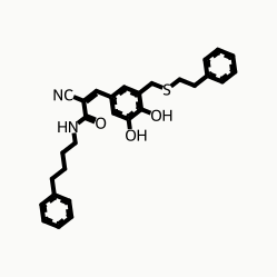 N#C/C(=C/c1cc(O)c(O)c(CSCCc2ccccc2)c1)C(=O)NCCCCc1ccccc1